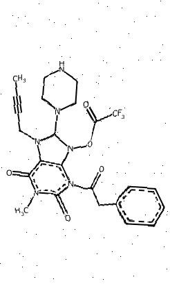 CC#CCN1c2c(n(C(=O)Cc3ccccc3)c(=O)n(C)c2=O)N(OC(=O)C(F)(F)F)C1N1CCNCC1